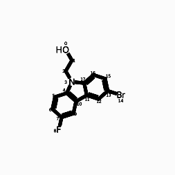 OCCn1c2ccc(F)cc2c2cc(Br)ccc21